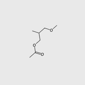 COCC(C)COC(C)=O